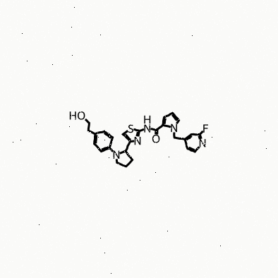 O=C(Nc1nc(C2CCCN2c2ccc(CCO)cc2)cs1)c1cccn1Cc1ccnc(F)c1